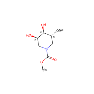 CO[C@@H]1CN(C(=O)OC(C)(C)C)C[C@@H](O)[C@H]1O